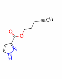 C#CCCCOC(=O)c1cc[nH]n1